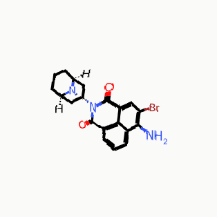 CN1[C@@H]2CCC[C@H]1C[C@H](N1C(=O)c3cccc4c(N)c(Br)cc(c34)C1=O)C2